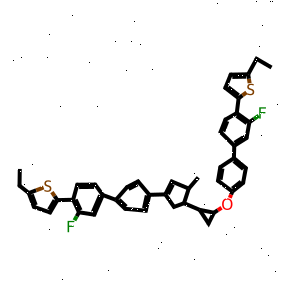 CCc1ccc(-c2ccc(-c3ccc(OC4CC4C4CC(c5ccc(-c6ccc(-c7ccc(CC)s7)c(F)c6)cc5)=CC4C)cc3)cc2F)s1